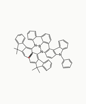 CC1(C)c2ccccc2-c2c(N3B4c5c(cccc5-c5c(ccc6c5c5ccccc5n6-c5ccccc5)N4c4cccc5c4-c4ccccc4C5(C)C)-c4ccccc43)cccc21